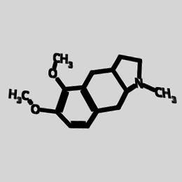 COc1ccc2c(c1OC)CC1CCN(C)C1C2